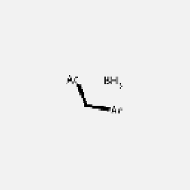 B.CC(=O)CC(C)=O